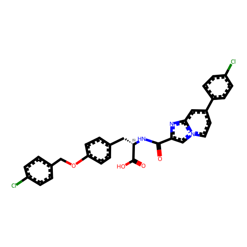 O=C(N[C@@H](Cc1ccc(OCc2ccc(Cl)cc2)cc1)C(=O)O)c1cn2ccc(-c3ccc(Cl)cc3)cc2n1